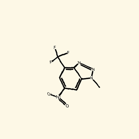 Cn1nnc2c(C(F)(F)F)cc([N+](=O)[O-])cc21